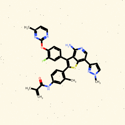 C=C(C)C(=O)Nc1ccc(-c2sc3c(-c4ccn(C)n4)cnc(N)c3c2-c2ccc(Oc3nccc(C)n3)c(F)c2)c(C)c1